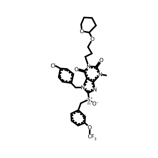 Cn1c(=O)n(CCCOC2CCCCO2)c(=O)c2c1nc([S@+]([O-])Cc1cccc(OC(F)(F)F)c1)n2Cc1ccc(Cl)cc1